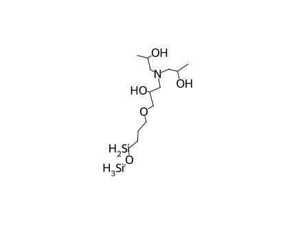 CC(O)CN(CC(C)O)CC(O)COCCC[SiH2]O[SiH3]